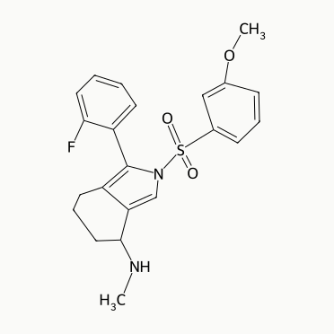 CNC1CCCc2c1cn(S(=O)(=O)c1cccc(OC)c1)c2-c1ccccc1F